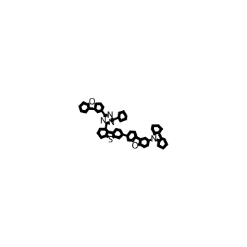 c1ccc(-c2nc(-c3ccc4oc5ccccc5c4c3)nc(-c3cccc4sc5cc(-c6ccc7c(c6)oc6ccc(-n8c9ccccc9c9ccccc98)cc67)ccc5c34)n2)cc1